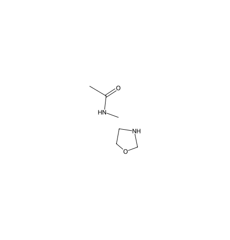 C1COCN1.CNC(C)=O